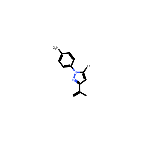 C=C(C)c1cc(CC)n(-c2ccc([N+](=O)[O-])cc2)n1